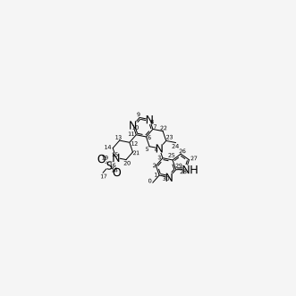 Cc1cc(N2Cc3c(ncnc3C3CCN(S(C)(=O)=O)CC3)CC2C)c2cc[nH]c2n1